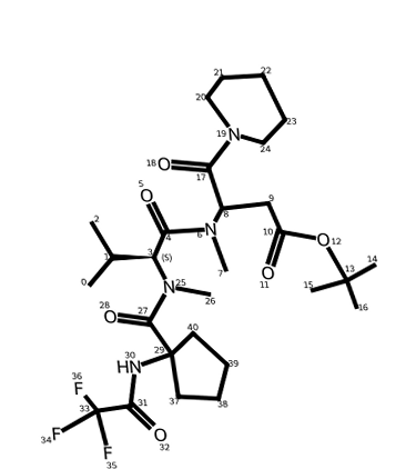 CC(C)[C@@H](C(=O)N(C)C(CC(=O)OC(C)(C)C)C(=O)N1CCCCC1)N(C)C(=O)C1(NC(=O)C(F)(F)F)CCCC1